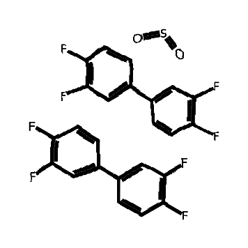 Fc1ccc(-c2ccc(F)c(F)c2)cc1F.Fc1ccc(-c2ccc(F)c(F)c2)cc1F.O=S=O